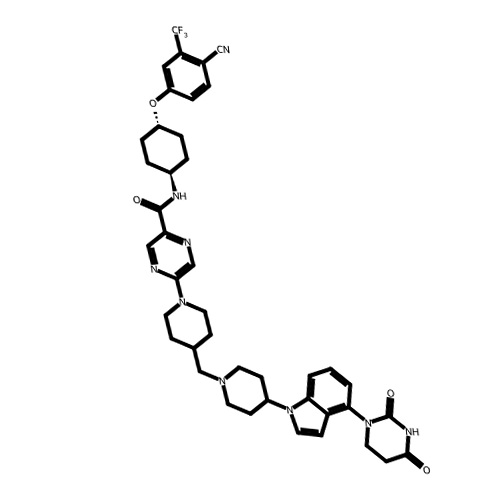 N#Cc1ccc(O[C@H]2CC[C@H](NC(=O)c3cnc(N4CCC(CN5CCC(n6ccc7c(N8CCC(=O)NC8=O)cccc76)CC5)CC4)cn3)CC2)cc1C(F)(F)F